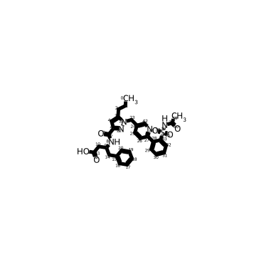 CCCc1cc(C(=O)NC(CC(=O)O)Cc2ccccc2)nn1Cc1ccc(-c2ccccc2S(=O)(=O)NC(C)=O)nc1